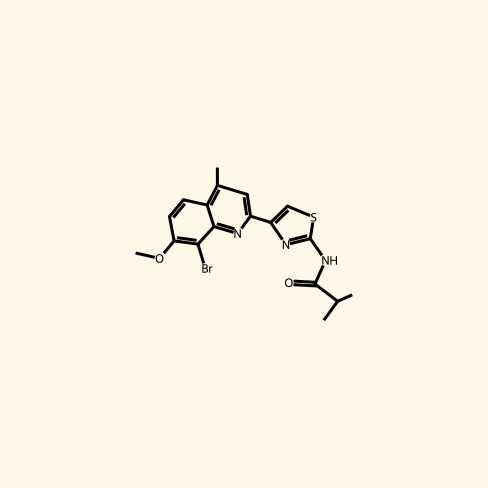 COc1ccc2c(C)cc(-c3csc(NC(=O)C(C)C)n3)nc2c1Br